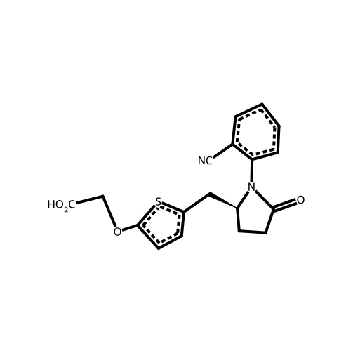 N#Cc1ccccc1N1C(=O)CC[C@H]1Cc1ccc(OCC(=O)O)s1